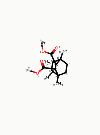 CC(C)OC(=O)[C@@H]1[C@@H](C(=O)OC(C)C)C2(C(C)C)CCC1(C)CC2